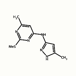 CSc1nc(C)cc(Nc2cc(C)[nH]n2)n1